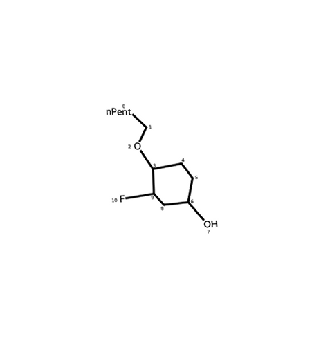 CCCCCCOC1CCC(O)CC1F